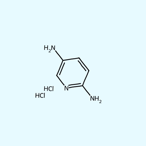 Cl.Cl.Nc1ccc(N)nc1